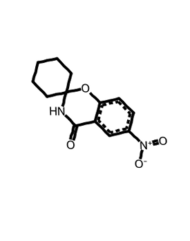 O=C1NC2(CCCCC2)Oc2ccc([N+](=O)[O-])cc21